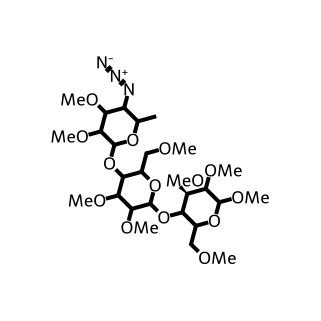 COCC1OC(OC2C(COC)OC(OC)C(OC)[C@@H]2OC)C(OC)C(OC)C1OC1OC(C)C(N=[N+]=[N-])C(OC)C1OC